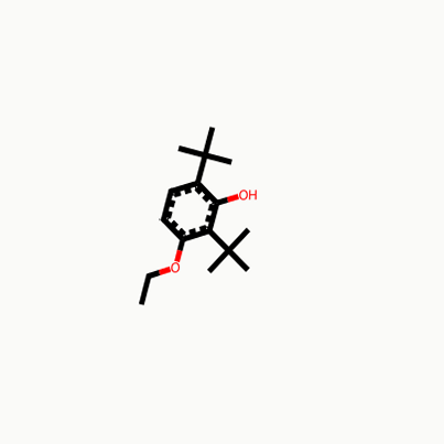 CCOc1[c]cc(C(C)(C)C)c(O)c1C(C)(C)C